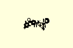 Cc1cc(C)c(C(=O)c2ccc(C(=O)Nc3nc(C)nc(-c4ccccn4)n3)cc2)c(C)c1